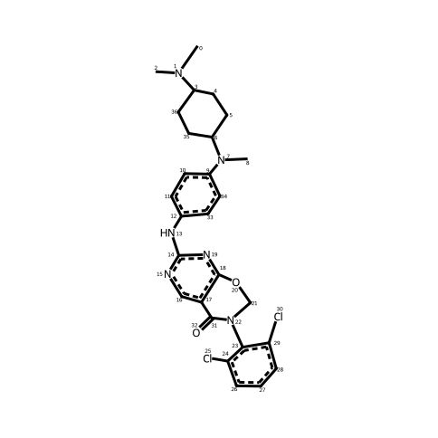 CN(C)C1CCC(N(C)c2ccc(Nc3ncc4c(n3)OCN(c3c(Cl)cccc3Cl)C4=O)cc2)CC1